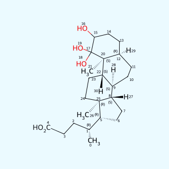 C[C@H](CCC(=O)O)[C@H]1CC[C@H]2[C@@H]3CC[C@@H]4CCC(O)C(O)(O)[C@]4(C)[C@H]3CC[C@]12C